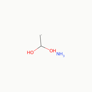 N.[CH2]C(O)O